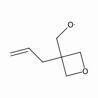 C=CCC1(C[O])COC1